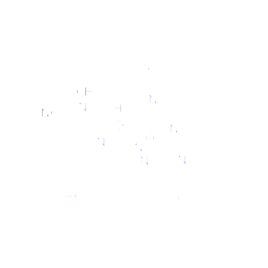 Cc1c(N(C(=O)c2nn(-c3cc(Cl)cnc3C(=O)N3Cc4ccccc4CC3CN3CCOCC3)c3ccccc23)c2ccc(O)cc2)cc(C#N)n1C